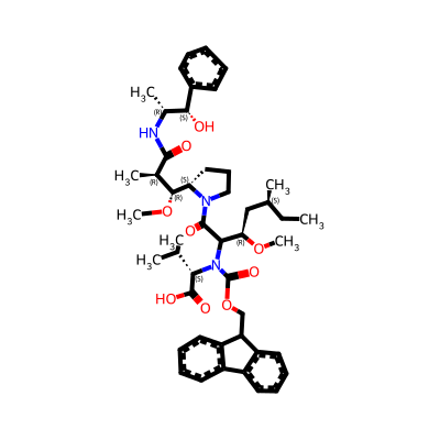 CC[C@H](C)C[C@@H](OC)C(C(=O)N1CCC[C@H]1[C@H](OC)[C@@H](C)C(=O)N[C@H](C)[C@@H](O)c1ccccc1)N(C(=O)OCC1c2ccccc2-c2ccccc21)[C@H](C(=O)O)C(C)C